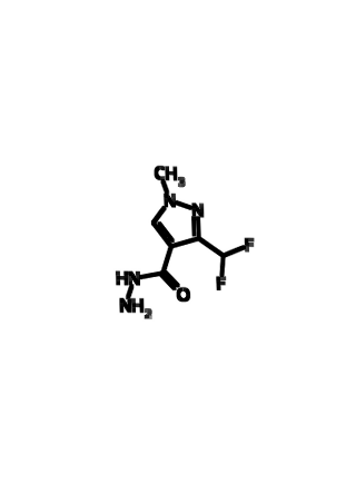 Cn1cc(C(=O)NN)c(C(F)F)n1